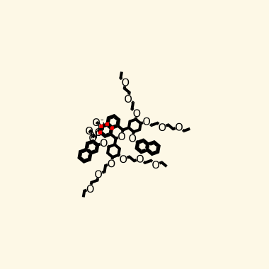 CCOCCOCCOC1CC(Oc2ccc3ccccc3c2)C(C(OC(c2cccc([N+](=O)[O-])c2)C2CC(OCCOCCOCC)C(OCCOCCOCC)CC2Oc2ccc3ccccc3c2)c2cccc([N+](=O)[O-])c2)CC1OCCOCCOCC